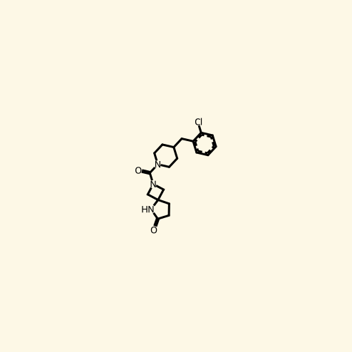 O=C1CCC2(CN(C(=O)N3CCC(Cc4ccccc4Cl)CC3)C2)N1